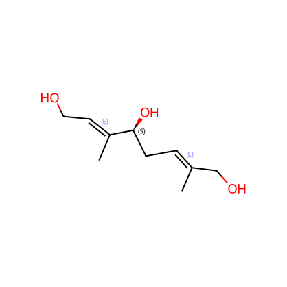 C/C(=C\C[C@H](O)/C(C)=C/CO)CO